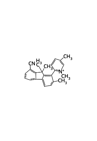 Cc1ccc(-c2c(C)ccc3c2C(C)(C)c2c(C#N)cccc2-3)[n+](C)c1